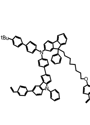 C=Cc1ccc(OCCCCCCCCC2(c3ccccc3)c3ccccc3-c3ccc(N(c4ccc(-c5ccc(C(C)(C)C)cc5)cc4)c4ccc(-c5ccc6c(c5)c5cc(-c7ccc(C=C)cc7)ccc5n6-c5ccccc5)cc4)cc32)cc1